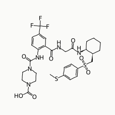 CSc1ccc(S(=O)(=O)C[C@@H]2CCCC[C@@H]2NC(=O)CNC(=O)c2cc(C(F)(F)F)ccc2NC(=O)N2CCN(C(=O)O)CC2)cc1